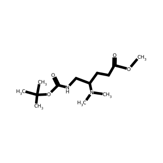 COC(=O)CCC(CNC(=O)OC(C)(C)C)N(C)C